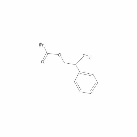 CC(C)C(=O)OCC(C)c1ccccc1